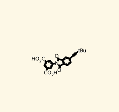 CC(C)(C)C#Cc1ccc2c(c1)C(=O)N(c1cc(C(=O)O)cc(C(=O)O)c1)C2=O